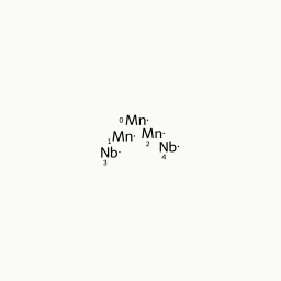 [Mn].[Mn].[Mn].[Nb].[Nb]